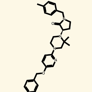 Cc1ccc(CN2CC[C@@H](N3CCN(c4ccc(OCc5ccccc5)cn4)CC3(C)C)C2=O)cc1